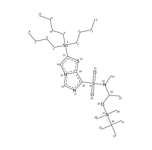 CCC[CH2][Sn]([CH2]CCC)([CH2]CCC)[c]1cn2cnc(S(=O)(=O)N(C)C(C)O[Si](C)(C)C(C)(C)C)c2s1